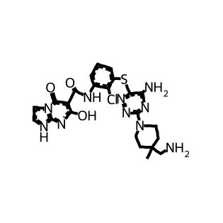 CC1(CN)CCN(c2nnc(Sc3cccc(NC(=O)c4c(O)nc5[nH]ccn5c4=O)c3Cl)c(N)n2)CC1